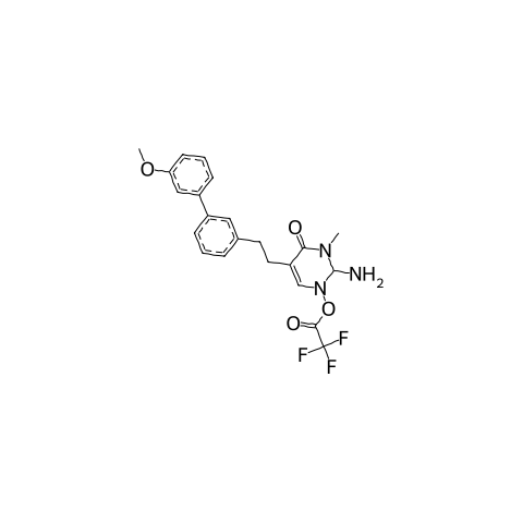 COc1cccc(-c2cccc(CCC3=CN(OC(=O)C(F)(F)F)C(N)N(C)C3=O)c2)c1